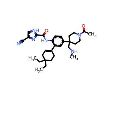 CCC1(CC)CC=C(c2cc(C3(CNC)CCN(C(C)=O)CC3)ccc2NC(=O)c2nc(C#N)c[nH]2)CC1